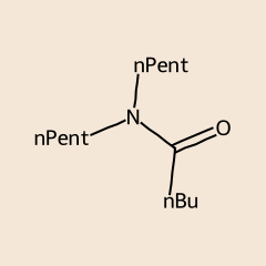 CCCCCN(CCCCC)C(=O)CCCC